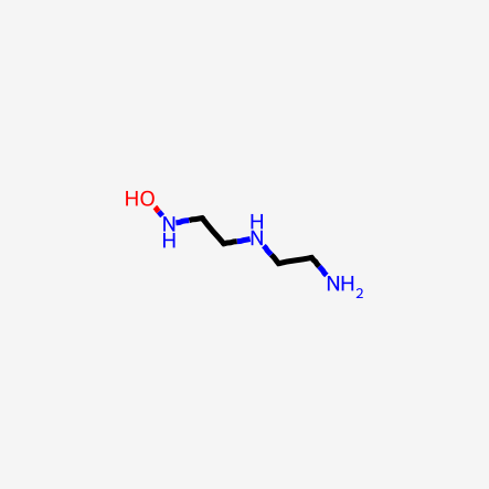 NCCNCCNO